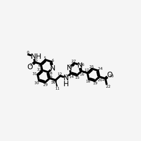 CNC(=O)c1ccnc2c([C@H](C)CNc3cc(-c4ccc(C(C)=O)cc4)ncn3)cccc12